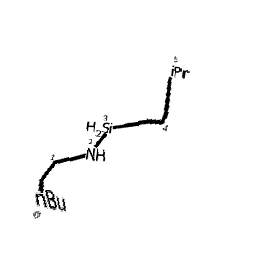 CCCCCN[SiH2]CC(C)C